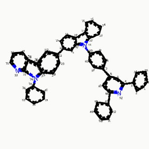 c1ccc(-c2cc(-c3ccc(-n4c5ccccc5c5ccc(-c6ccc7c(c6)c6cccnc6n7-c6ccccc6)cc54)cc3)cc(-c3ccccc3)n2)cc1